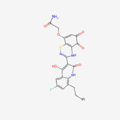 CC(C)CCc1cc(F)cc2c(O)c(-c3nsc4c(OCC(N)=O)cc(=O)c(=O)c=4[nH]3)c(=O)[nH]c12